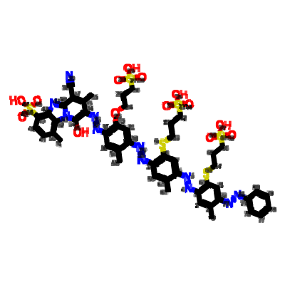 Cc1cc(N=Nc2cc(SCCCS(=O)(=O)O)c(N=Nc3cc(OCCCS(=O)(=O)O)c(N=Nc4c(C)c(C#N)c5nc6c(S(=O)(=O)O)ccc(C)c6n5c4O)cc3C)cc2C)c(SCCCS(=O)(=O)O)cc1N=Nc1ccccc1